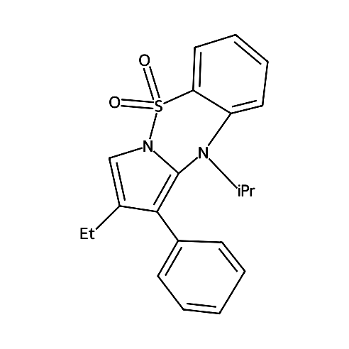 CCc1cn2c(c1-c1ccccc1)N(C(C)C)c1ccccc1S2(=O)=O